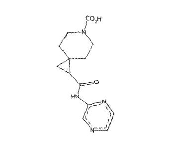 O=C(Nc1cnccn1)C1CC12CCN(C(=O)O)CC2